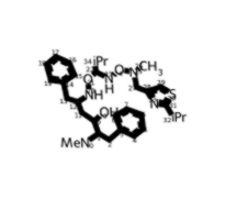 CNC(Cc1ccccc1)C(O)CC(Cc1ccccc1)NOC(NON(C)Cc1csc(C(C)C)n1)C(C)C